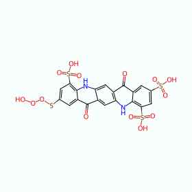 O=c1c2cc3[nH]c4c(S(=O)(=O)O)cc(S(=O)(=O)O)cc4c(=O)c3cc2[nH]c2c(S(=O)(=O)O)cc(SOOO)cc12